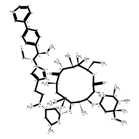 CC[C@H]1OC(=O)[C@H](C)[C@@H](O[C@H]2C[C@@](C)(OC)[C@@H](O)[C@H](C)O2)[C@H](C)[C@@H](O[C@H]2C[C@@H](N(C)CCc3cn([C@H](CF)[C@H](OC)c4ccc(-c5cccnc5)cc4)nn3)C[C@@H](C)O2)[C@](C)(OC)C[C@@H](C)C(=O)[C@H](C)[C@@H](O)[C@]1(C)O